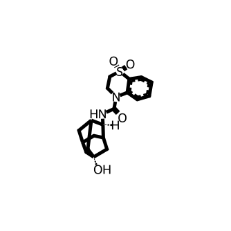 O=C(N[C@H]1C2CC3CC1C[C@](O)(C3)C2)N1CCS(=O)(=O)c2ccccc21